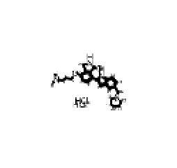 CN(C)CCCOc1ccc(-c2cc3cc(CN4CCCCC4)ccc3[nH]2)c2c1CNC2=O.Cl.Cl